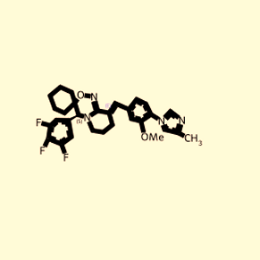 COc1cc(/C=C2\CCCN3C2=NOC2(CCCCC2)[C@@H]3c2cc(F)c(F)c(F)c2)ccc1-n1cnc(C)c1